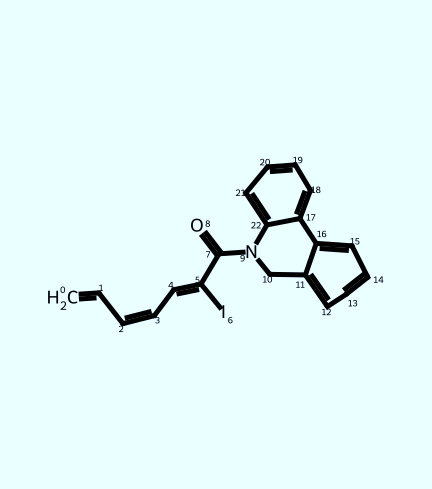 C=C/C=C\C=C(/I)C(=O)N1Cc2ccccc2-c2ccccc21